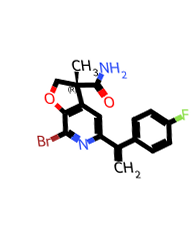 C=C(c1ccc(F)cc1)c1cc2c(c(Br)n1)OC[C@]2(C)C(N)=O